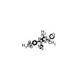 CN(c1nc(N)c2nc(-c3ccc(S(C)(=O)=O)cc3)n(-c3cscn3)c2n1)C1CCOCC1